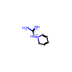 N=C(N)NN1C=CC=CC1